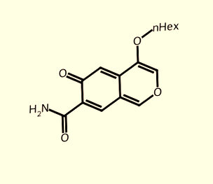 CCCCCCOc1cocc2cc(C(N)=O)c(=O)cc1-2